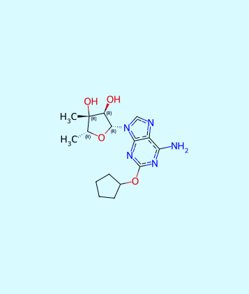 C[C@H]1O[C@@H](n2cnc3c(N)nc(OC4CCCC4)nc32)[C@H](O)[C@@]1(C)O